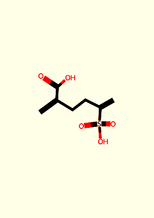 C=C(CCC(=C)S(=O)(=O)O)C(=O)O